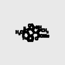 COC(=O)C1=C(C)NC2=C(C(=O)OC2)[C@H]1c1cccc(F)c1CC(C)(F)F